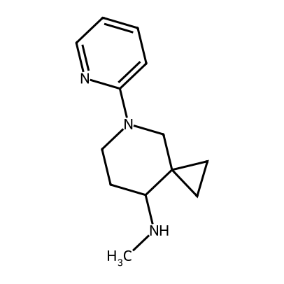 CNC1CCN(c2ccccn2)CC12CC2